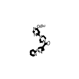 CC(C)COc1cc(N2CCN(C(=O)c3cnn(-c4ccccn4)c3)CC2)ncn1